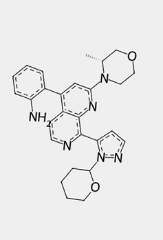 C[C@@H]1COCCN1c1cc(-c2ccccc2N)c2ccnc(-c3ccnn3C3CCCCO3)c2n1